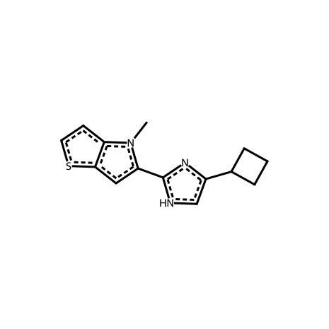 Cn1c(-c2nc(C3CCC3)c[nH]2)cc2sccc21